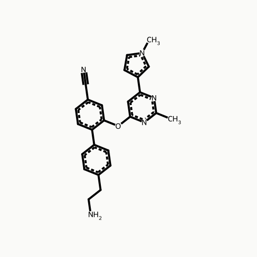 Cc1nc(Oc2cc(C#N)ccc2-c2ccc(CCN)cc2)cc(-c2ccn(C)c2)n1